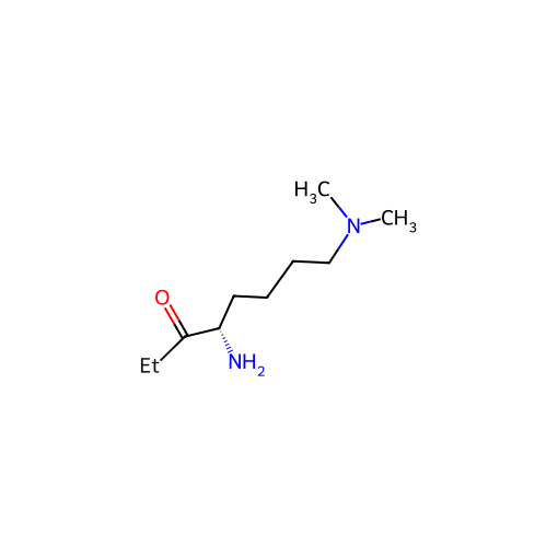 CCC(=O)[C@@H](N)CCCCN(C)C